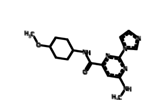 CNc1cc(C(=O)NC2CCC(OC)CC2)nc(-n2ccnc2)n1